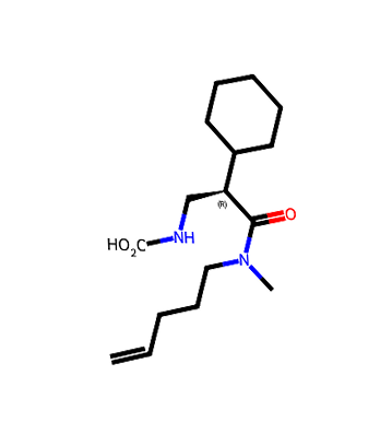 C=CCCCN(C)C(=O)[C@@H](CNC(=O)O)C1CCCCC1